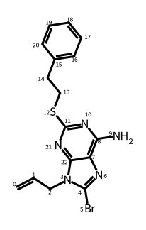 C=CCn1c(Br)nc2c(N)nc(SCCc3ccccc3)nc21